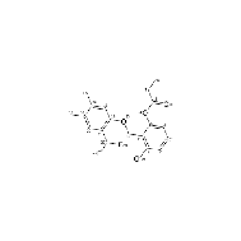 CCC(=O)Oc1cccc(Cl)c1COc1cc(C)c(C)cc1C(F)F